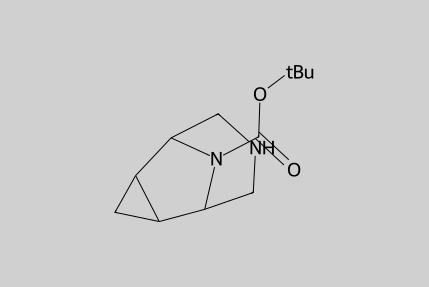 CC(C)(C)OC(=O)N1C2CNCC1C1CC12